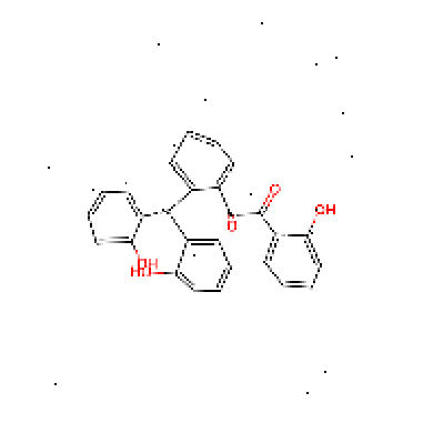 O=C(C(=O)c1ccccc1C(c1ccccc1O)c1ccccc1O)c1ccccc1O